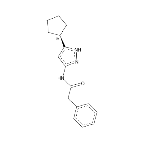 O=C(Cc1ccccc1)Nc1cc([C@H]2C[CH]CC2)[nH]n1